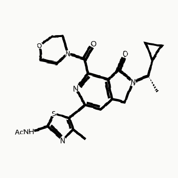 CC(=O)Nc1nc(C)c(-c2cc3c(c(C(=O)N4CCOCC4)n2)C(=O)N([C@@H](C)C2CC2)C3)s1